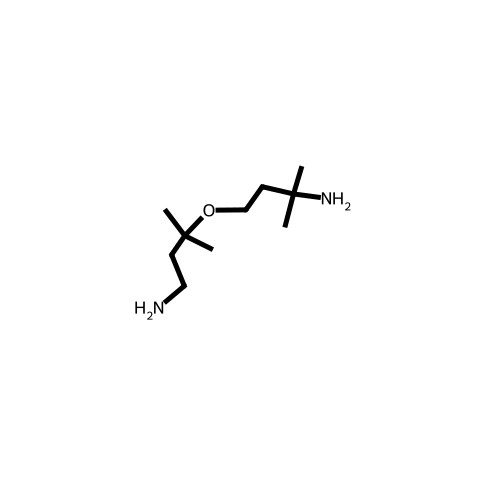 CC(C)(N)CCOC(C)(C)CCN